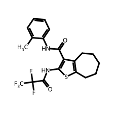 Cc1ccccc1NC(=O)c1c(NC(=O)C(F)(F)C(F)(F)F)sc2c1CCCCC2